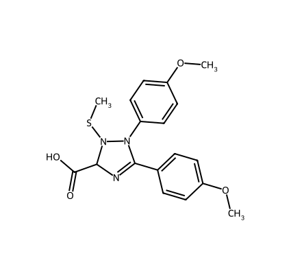 COc1ccc(C2=NC(C(=O)O)N(SC)N2c2ccc(OC)cc2)cc1